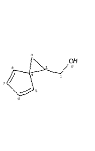 OCC1CC12C=CC=C2